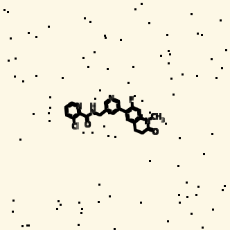 CN1C(=O)CCc2cc(-c3cncc(CNC(=O)c4ncccc4Cl)c3)c(F)cc21